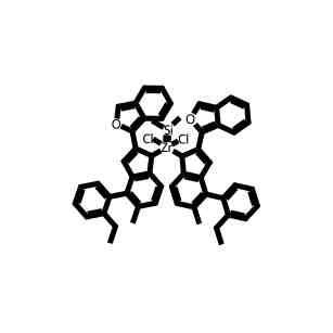 CCc1ccccc1-c1c(C)ccc2c1C=C(c1occ3ccccc13)[CH]2[Zr]([Cl])([Cl])([CH]1C(c2occ3ccccc23)=Cc2c1ccc(C)c2-c1ccccc1CC)=[Si](C)C